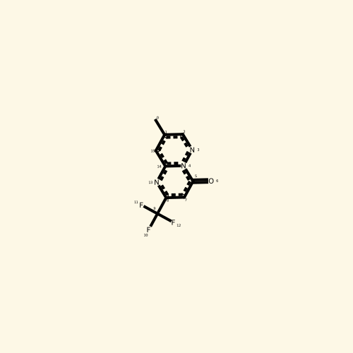 Cc1cnn2c(=O)cc(C(F)(F)F)nc2c1